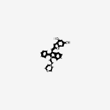 Oc1cc(O)c2c(c1)OC(=Cc1c(-c3ccccc3)n(CCN3CCOCC3)c3ccccc13)C2